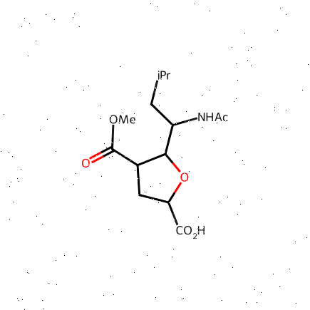 COC(=O)C1CC(C(=O)O)OC1C(CC(C)C)NC(C)=O